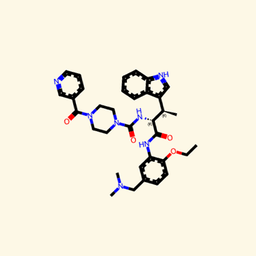 CCOc1ccc(CN(C)C)cc1NC(=O)[C@H](NC(=O)N1CCN(C(=O)c2cccnc2)CC1)[C@H](C)c1c[nH]c2ccccc12